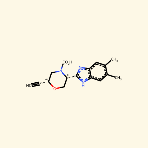 C#C[C@@H]1CN(C(=O)O)[C@H](c2nc3cc(C)c(C)cc3[nH]2)CO1